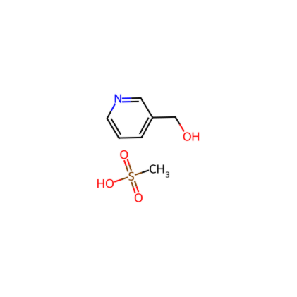 CS(=O)(=O)O.OCc1cccnc1